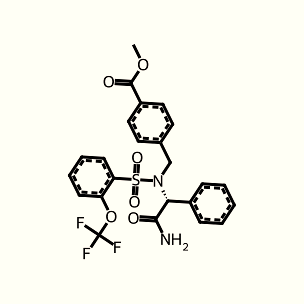 COC(=O)c1ccc(CN([C@@H](C(N)=O)c2ccccc2)S(=O)(=O)c2ccccc2OC(F)(F)F)cc1